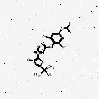 CC(C)c1cc(OC(F)F)cc(C(C)C)c1NC(=O)N=S(N)(=O)c1sc(C(C)(C)O)cc1F